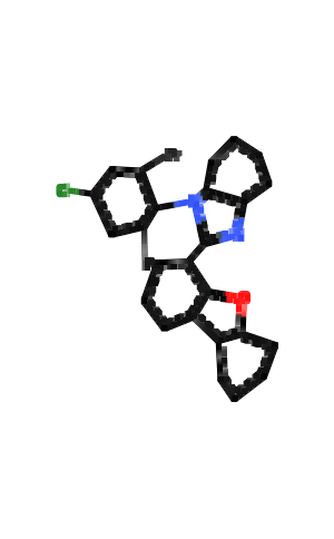 CC(C)c1cc(Cl)cc(C(C)C)c1-n1c(-c2cccc3c2oc2ccccc23)nc2ccccc21